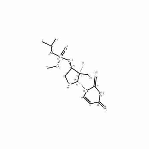 CO[P@@](=O)(OC(C)C)O[C@@H]1CO[C@@H](n2ccc(=O)[nH]c2=O)[C@]1(C)Cl